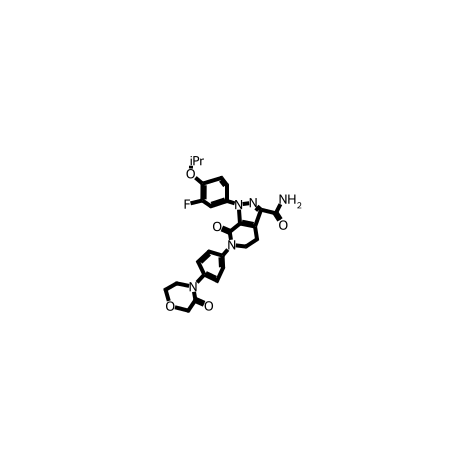 CC(C)Oc1ccc(-n2nc(C(N)=O)c3c2C(=O)N(c2ccc(N4CCOCC4=O)cc2)CC3)cc1F